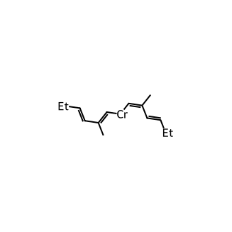 CCC=CC(C)=[CH][Cr][CH]=C(C)C=CCC